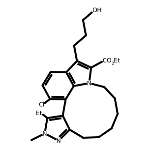 CCOC(=O)c1c(CCCO)c2ccc(Cl)c3c2n1CCCCCCc1nn(C)c(CC)c1-3